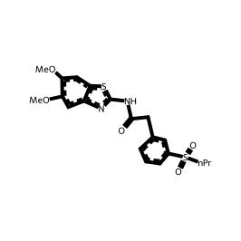 CCCS(=O)(=O)c1cccc(CC(=O)Nc2nc3cc(OC)c(OC)cc3s2)c1